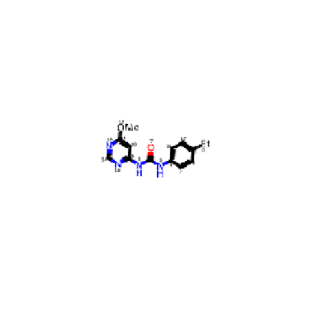 CCc1ccc(NC(=O)Nc2cc(OC)ncn2)cc1